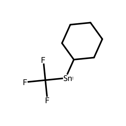 F[C](F)(F)[Sn][CH]1CCCCC1